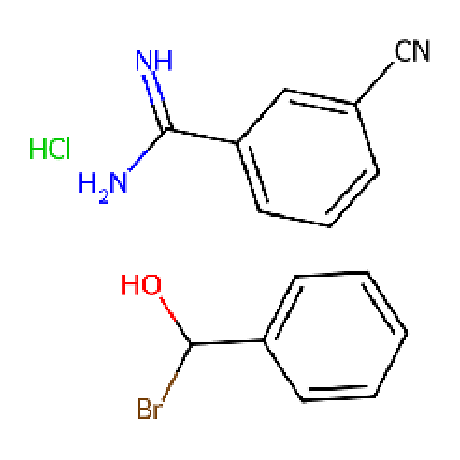 Cl.N#Cc1cccc(C(=N)N)c1.OC(Br)c1ccccc1